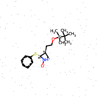 CC(C)(C)[Si](C)(C)OCC[C@H]1C[NH+]([O-])[C@@H]1Sc1ccccc1